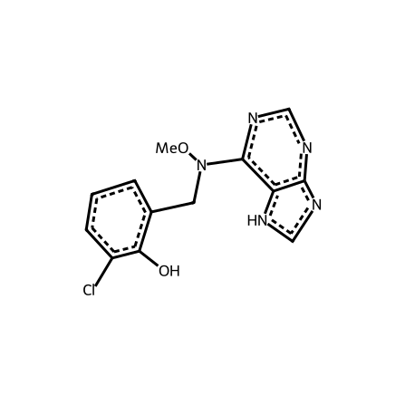 CON(Cc1cccc(Cl)c1O)c1ncnc2nc[nH]c12